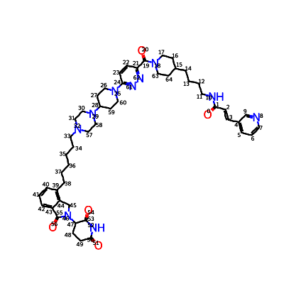 O=C(/C=C/c1cccnc1)NCCCCC1CCN(C(=O)c2ccc(N3CCC(N4CCN(CCCCCCc5cccc6c5CN(C5CCC(=O)NC5=O)C6=O)CC4)CC3)nn2)CC1